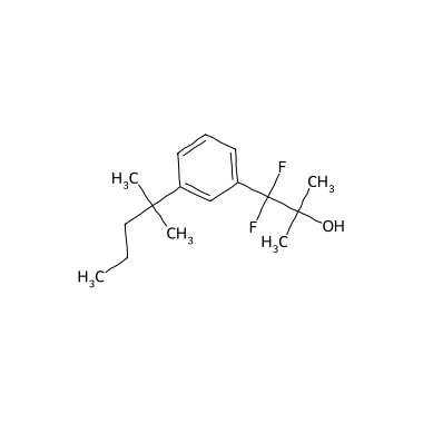 CCCC(C)(C)c1cccc(C(F)(F)C(C)(C)O)c1